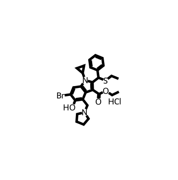 CCOC(=O)c1c(C(SCC)c2ccccc2)n(C2CC2)c2cc(Br)c(O)c(CN3CCCC3)c12.Cl